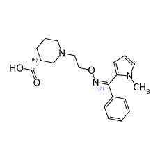 Cn1cccc1/C(=N\OCCN1CCC[C@@H](C(=O)O)C1)c1ccccc1